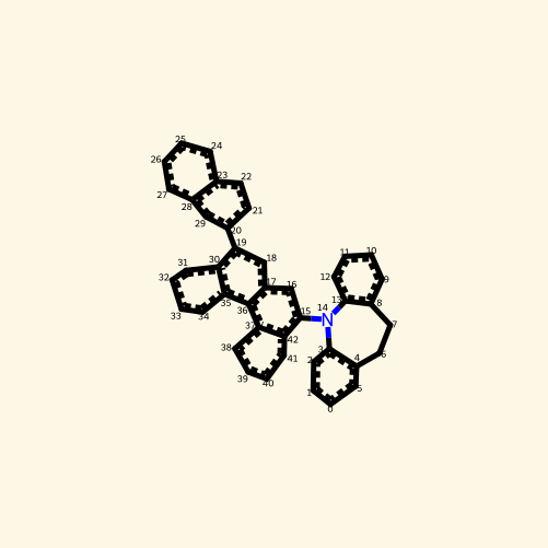 c1ccc2c(c1)CCc1ccccc1N2c1cc2cc(-c3ccc4ccccc4c3)c3ccccc3c2c2ccccc12